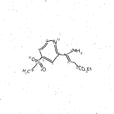 CCOC(=O)C=C(N)c1cc(S(C)(=O)=O)ccn1